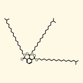 CC(C)CCCCCCCCCCCCCCCOC(=O)c1cccc(C(=O)OCCCCCCCCCCCCCCCC(C)C)c1C(=O)OCCCCCCCCCCCCCCCC(C)C